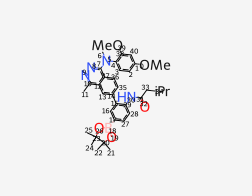 COc1ccc(N(C)c2nnc(C)c3cc(-c4cc(B5OC(C)(C)C(C)(C)O5)ccc4NC(=O)CC(C)C)ccc23)c(OC)c1